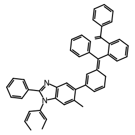 C=C(c1ccccc1)c1ccccc1/C(=C1/C=C(c2cc3nc(-c4ccccc4)n(C(/C=C\C)=C/C)c3cc2C)C=CC1)c1ccccc1